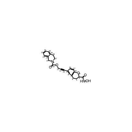 O=C(NO)C1CCc2cc(C#CCOC(=O)N3CCc4ccccc4C3)ccc2O1